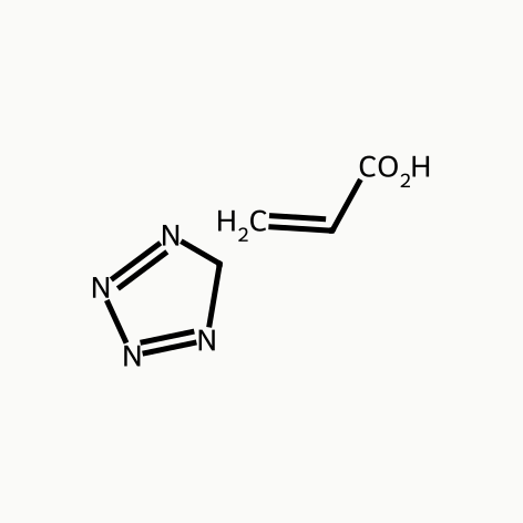 C1N=NN=N1.C=CC(=O)O